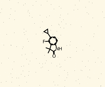 CC1(C)C(=O)Nc2ccc(C3CC3)c(F)c21